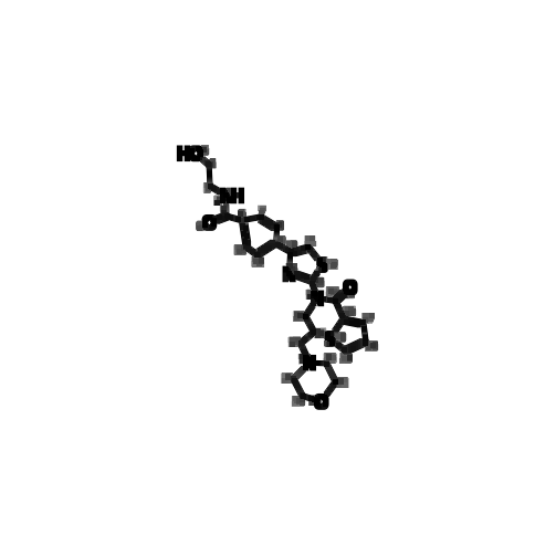 O=C(NCCO)c1ccc(-c2csc(N(CCCN3CCOCC3)C(=O)c3cccs3)n2)cc1